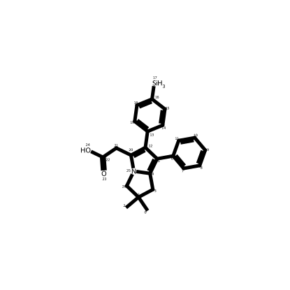 CC1(C)Cc2c(-c3ccccc3)c(-c3ccc([SiH3])cc3)c(CC(=O)O)n2C1